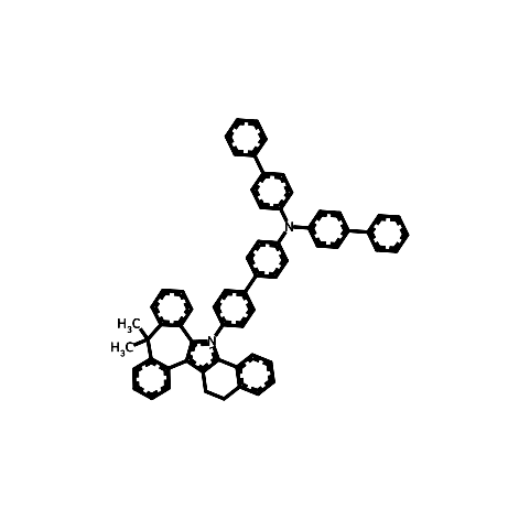 CC1(C)c2ccccc2-c2c3c(n(-c4ccc(-c5ccc(N(c6ccc(-c7ccccc7)cc6)c6ccc(-c7ccccc7)cc6)cc5)cc4)c2-c2ccccc21)-c1ccccc1CC3